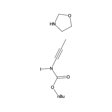 C1COCN1.CC#CN(I)C(=O)OCCCC